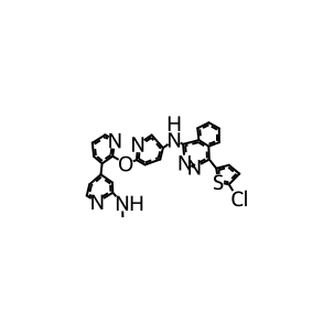 CNc1cc(-c2cccnc2Oc2ccc(Nc3nnc(-c4ccc(Cl)s4)c4ccccc34)cn2)ccn1